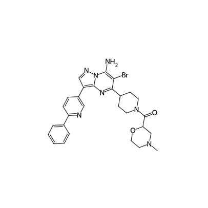 CN1CCOC(C(=O)N2CCC(c3nc4c(-c5ccc(-c6ccccc6)nc5)cnn4c(N)c3Br)CC2)C1